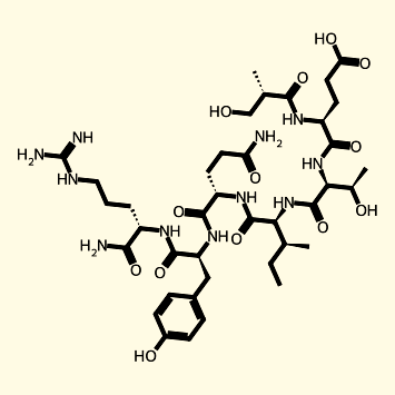 CC[C@H](C)[C@H](NC(=O)[C@@H](NC(=O)[C@H](CCC(=O)O)NC(=O)[C@@H](C)CO)[C@@H](C)O)C(=O)N[C@@H](CCC(N)=O)C(=O)N[C@@H](Cc1ccc(O)cc1)C(=O)N[C@@H](CCCNC(=N)N)C(N)=O